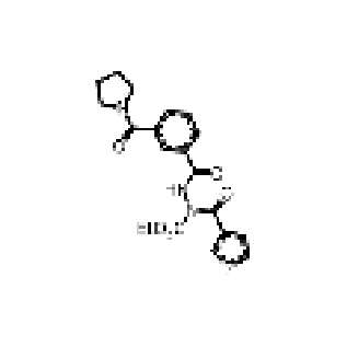 CCOC(=O)N(NC(=O)c1cccc(C(=O)N2CCCC2)c1)C(=O)c1ccsc1